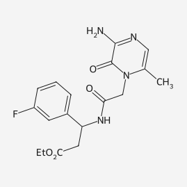 CCOC(=O)CC(NC(=O)Cn1c(C)cnc(N)c1=O)c1cccc(F)c1